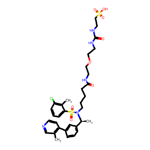 Cc1cnccc1-c1cccc([C@H](C)N(CCCCC(=O)NCCOCCNC(=O)NCCS(=O)(=O)O)S(=O)(=O)c2cccc(Cl)c2C)c1